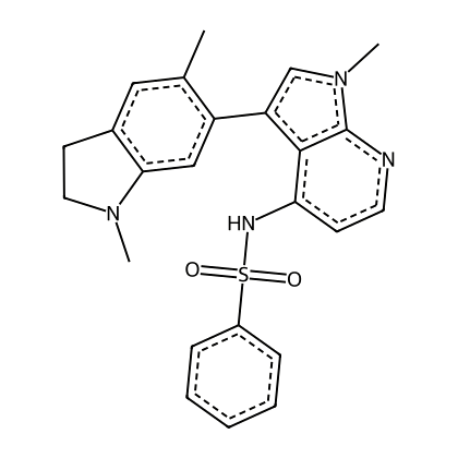 Cc1cc2c(cc1-c1cn(C)c3nccc(NS(=O)(=O)c4ccccc4)c13)N(C)CC2